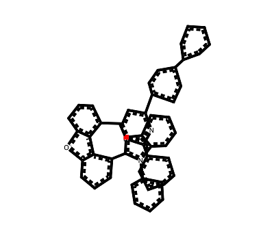 c1ccc(-c2ccc(-c3cc(-c4cccc5oc6cccc(-c7nc8ccccc8n7-c7ccccc7)c6c45)nc(-c4ccccc4)n3)cc2)cc1